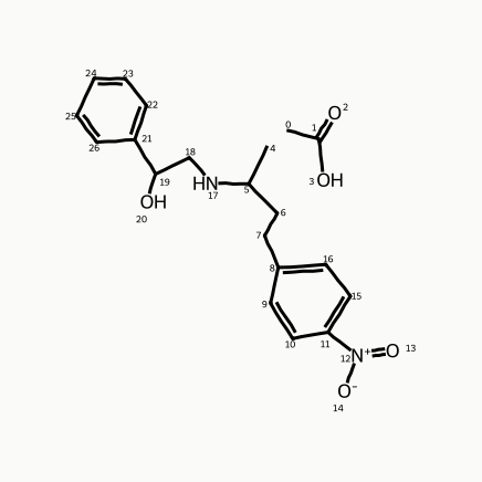 CC(=O)O.CC(CCc1ccc([N+](=O)[O-])cc1)NCC(O)c1ccccc1